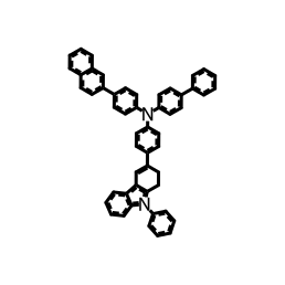 C1=C(c2ccc(N(c3ccc(-c4ccccc4)cc3)c3ccc(-c4ccc5ccccc5c4)cc3)cc2)CCc2c1c1ccccc1n2-c1ccccc1